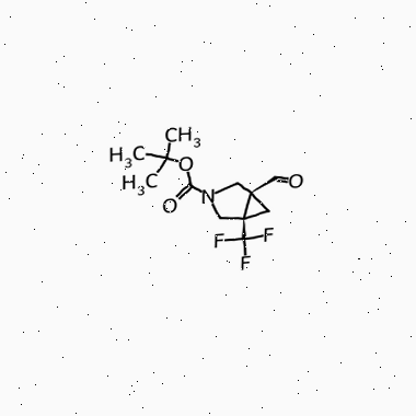 CC(C)(C)OC(=O)N1C[C@]2(C=O)C[C@]2(C(F)(F)F)C1